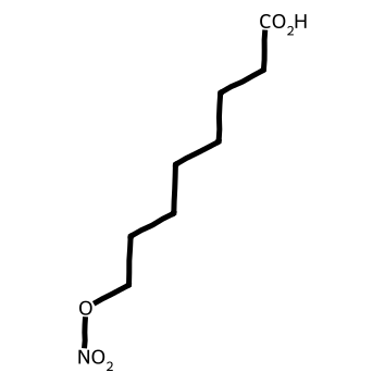 O=C(O)CCCCCCCO[N+](=O)[O-]